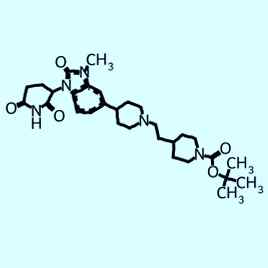 Cn1c(=O)n(C2CCC(=O)NC2=O)c2ccc(C3CCN(CCC4CCN(C(=O)OC(C)(C)C)CC4)CC3)cc21